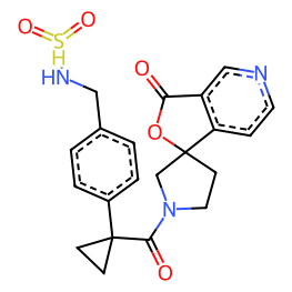 O=C1OC2(CCN(C(=O)C3(c4ccc(CN[SH](=O)=O)cc4)CC3)C2)c2ccncc21